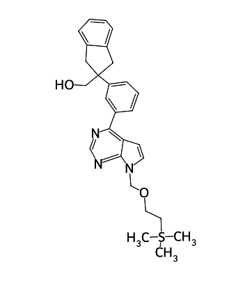 CS(C)(C)CCOCn1ccc2c(-c3cccc(C4(CO)Cc5ccccc5C4)c3)ncnc21